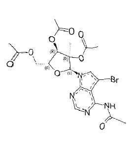 CC(=O)Nc1ncnc2c1c(Br)cn2[C@H]1O[C@H](COC(C)=O)[C@@H](OC(C)=O)[C@@]1(C)OC(C)=O